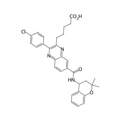 CC1(C)CC(NC(=O)c2ccc3nc(-c4ccc(Cl)cc4)c(CCCCC(=O)O)nc3c2)c2ccccc2O1